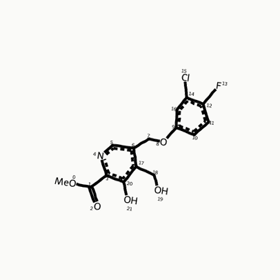 COC(=O)c1ncc(COc2ccc(F)c(Cl)c2)c(CO)c1O